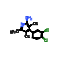 COc1nc(N)c(C#N)c(-c2ccc(Cl)c(Cl)c2)c1C#N